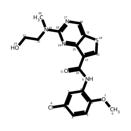 COc1ccc(Cl)cc1NC(=O)c1csc2cnc(N(C)CCO)nc12